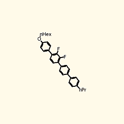 CCCCCCOc1ccc(-c2ccc(-c3ccc(-c4ccc(CCC)cc4)cc3)c(F)c2F)cc1